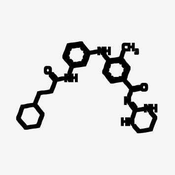 Cc1cc(C(=O)N=C2NCCCN2)ccc1Nc1cccc(NC(=O)CCC2CCCCC2)c1